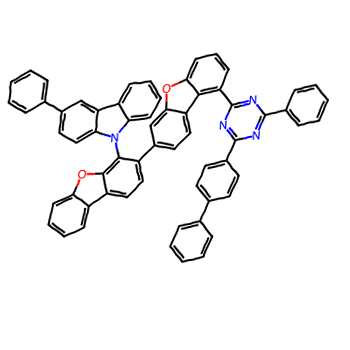 c1ccc(-c2ccc(-c3nc(-c4ccccc4)nc(-c4cccc5oc6cc(-c7ccc8c(oc9ccccc98)c7-n7c8ccccc8c8cc(-c9ccccc9)ccc87)ccc6c45)n3)cc2)cc1